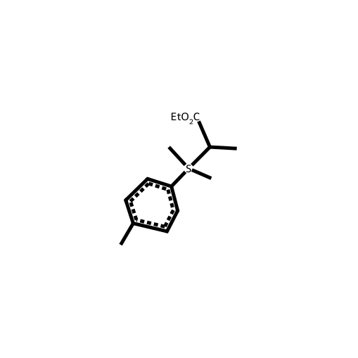 CCOC(=O)C(C)S(C)(C)c1ccc(C)cc1